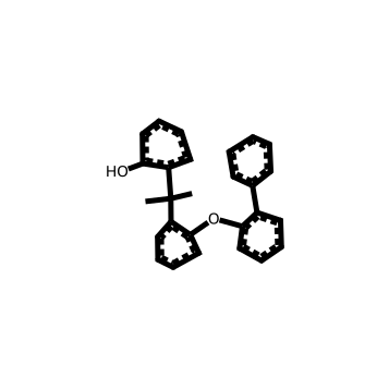 CC(C)(c1ccccc1O)c1ccccc1Oc1ccccc1-c1ccccc1